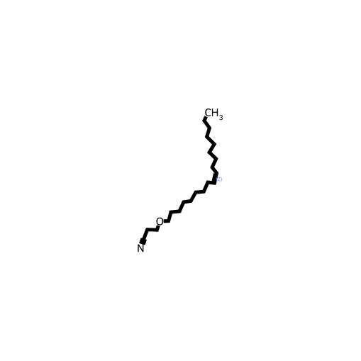 CCCCCCCC/C=C\CCCCCCCCOCCC#N